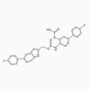 O=C(O)Oc1cc(-c2ccc(F)cc2)ccc1NC(=O)OCc1cc2cc(-c3ccc(F)cc3)ccc2o1